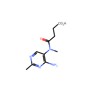 Cc1ncc(N(C)C(=O)CCC(=O)O)c(N)n1